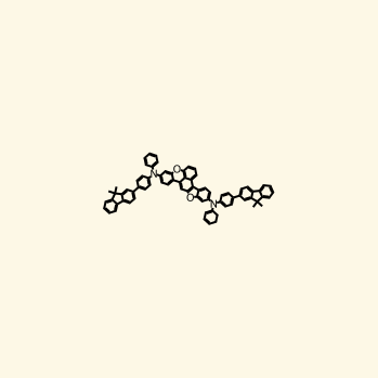 CC1(C)c2ccccc2-c2ccc(-c3ccc(N(C4=CC=CCC4)c4ccc5c(c4)oc4cc6c7c(cccc7c45)Oc4cc(N(c5ccccc5)c5ccc(-c7ccc8c(c7)C(C)(C)c7ccccc7-8)cc5)ccc4-6)cc3)cc21